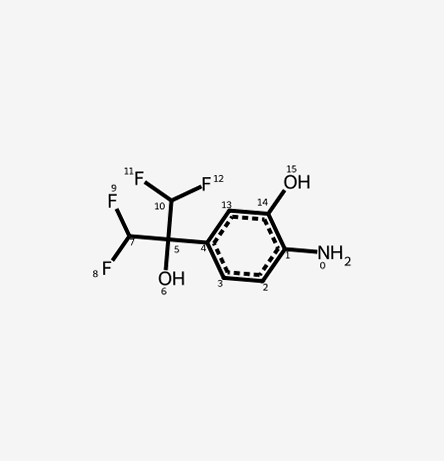 Nc1ccc(C(O)(C(F)F)C(F)F)cc1O